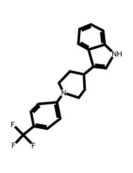 FC(F)(F)c1c[c]c(N2CCC(c3c[nH]c4ccccc34)CC2)cc1